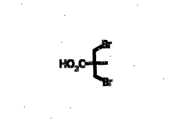 CC(CBr)(CBr)C(=O)O